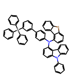 c1ccc(-n2c3ccccc3c3c(N(c4ccc(-c5cccc([Si](c6ccccc6)(c6ccccc6)c6ccccc6)c5)cc4)c4cccc5sc6ccccc6c45)cccc32)cc1